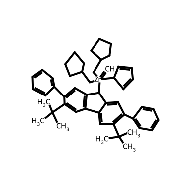 [CH2]=[Zr]([CH2]C1CCCC1)([CH2]C1CCCC1)([CH]1C=CC=C1)[CH]1c2cc(-c3ccccc3)c(C(C)(C)C)cc2-c2cc(C(C)(C)C)c(-c3ccccc3)cc21